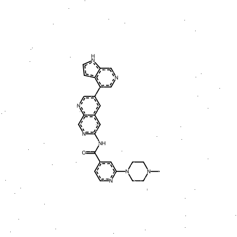 CN1CCN(c2cc(C(=O)Nc3cc4cc(-c5cncc6[nH]ccc56)cnc4cn3)ccn2)CC1